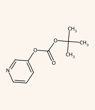 CC(C)(C)OC(=O)Oc1cccnc1